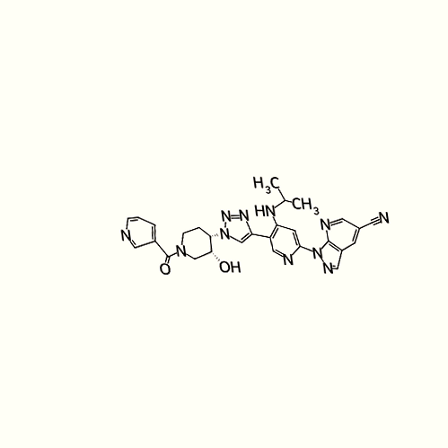 CC(C)Nc1cc(-n2ncc3cc(C#N)cnc32)ncc1-c1cn([C@H]2CCN(C(=O)c3cccnc3)C[C@H]2O)nn1